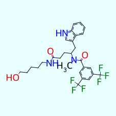 CN(C(=O)c1cc(C(F)(F)F)cc(C(F)(F)F)c1)C(CCC(=O)NCCCCCO)Cc1c[nH]c2ccccc12